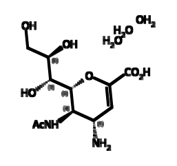 CC(=O)N[C@H]1[C@H]([C@H](O)[C@H](O)CO)OC(C(=O)O)=C[C@@H]1N.O.O.O